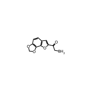 BCC(=O)c1cc2ccc3c(c2o1)OCO3